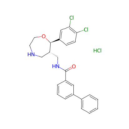 Cl.O=C(NC[C@@H]1CNCCO[C@H]1c1ccc(Cl)c(Cl)c1)c1cccc(-c2ccccc2)c1